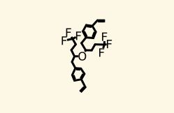 C=Cc1ccc(CC(CCC(F)(F)F)OC(CCC(F)(F)F)Cc2ccc(C=C)cc2)cc1